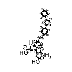 NC(=O)[C@H](CC(=O)O)NC(=O)[C@H](CCC(=O)O)NC(=O)CCc1ccc(C2CC(c3ccccc3)=CS2)cc1